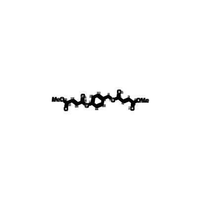 COC(=O)/C=C/C(=O)OCc1ccc(OC(=O)/C=C/C(=O)OC)cc1